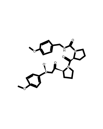 COc1ccc(CNC(=O)N2CCC[C@H]2C(=O)N2CCC[C@H]2C(=O)C[S@+]([O-])c2ccc(OC)cc2)cc1